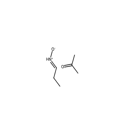 CC(C)=O.CCC=[NH+][O-]